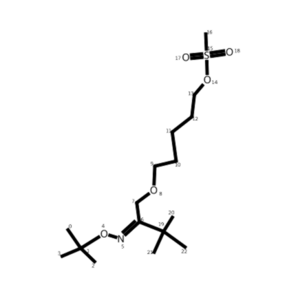 CC(C)(C)ON=C(COCCCCCOS(C)(=O)=O)C(C)(C)C